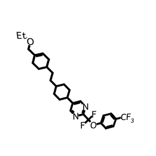 CCOCC1=CCC(CCC2CCC(c3cnc(C(F)(F)Oc4ccc(C(F)(F)F)cc4)nc3)CC2)CC1